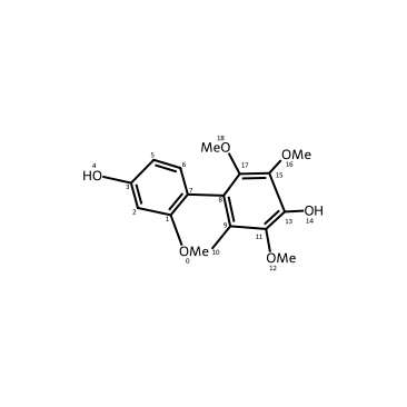 COc1cc(O)ccc1-c1c(C)c(OC)c(O)c(OC)c1OC